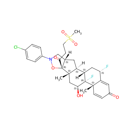 C[C@]12C=CC(=O)C=C1[C@@H](F)C[C@H]1[C@@H]3C[C@H]4CN(c5ccc(Cl)cc5)O[C@@]4(C(=O)CCS(C)(=O)=O)[C@@]3(C)C[C@H](O)[C@@]12F